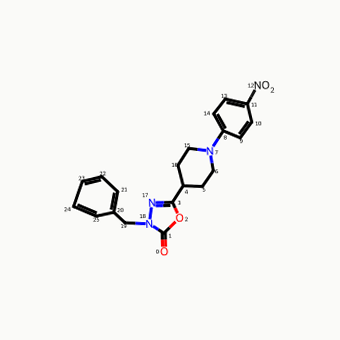 O=c1oc(C2CCN(c3ccc([N+](=O)[O-])cc3)CC2)nn1Cc1ccccc1